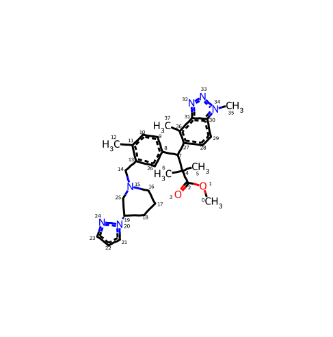 COC(=O)C(C)(C)C(c1ccc(C)c(CN2CCC[C@H](n3cccn3)C2)c1)c1ccc2c(nnn2C)c1C